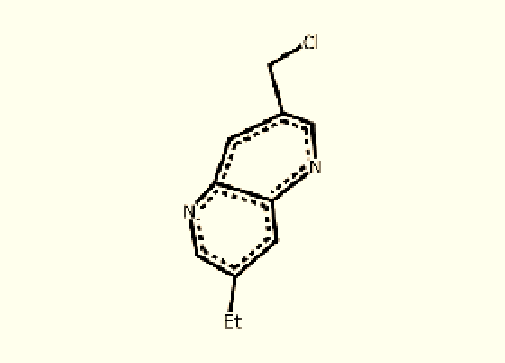 CCc1cnc2cc(CCl)cnc2c1